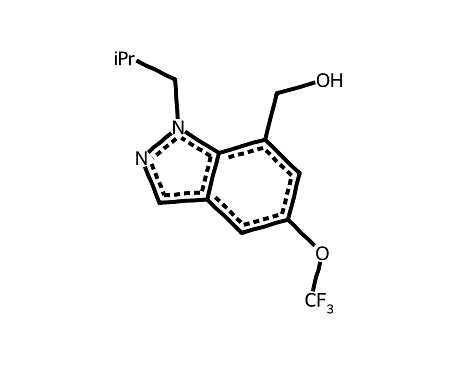 CC(C)Cn1ncc2cc(OC(F)(F)F)cc(CO)c21